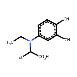 CCC(C(=O)O)N(CC(F)(F)F)c1ccc(C#N)c(C#N)c1